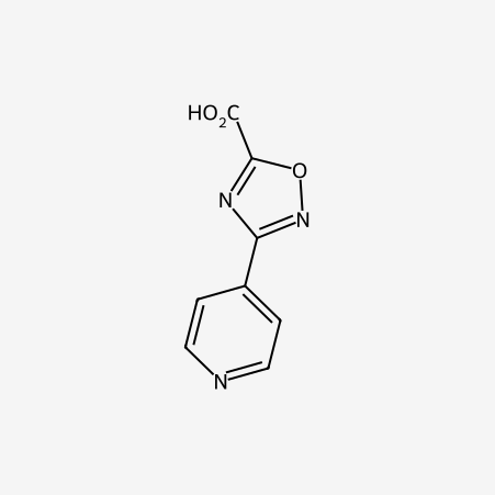 O=C(O)c1nc(-c2ccncc2)no1